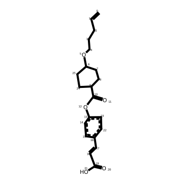 C=CCCCOC1CCC(C(=O)Oc2ccc(/C=C/C(=O)O)cc2)CC1